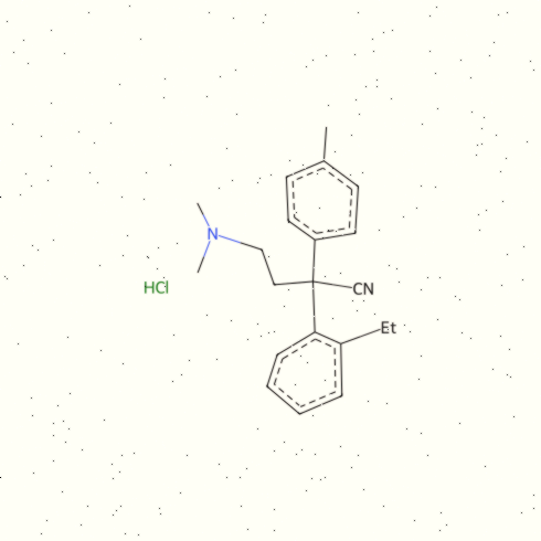 CCc1ccccc1C(C#N)(CCN(C)C)c1ccc(C)cc1.Cl